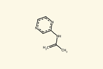 C=C(C)Nc1cnccn1